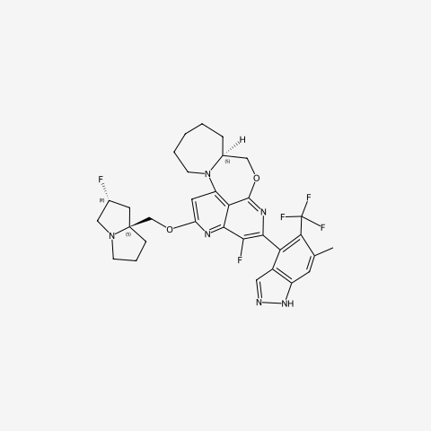 Cc1cc2[nH]ncc2c(-c2nc3c4c(cc(OC[C@@]56CCCN5C[C@H](F)C6)nc4c2F)N2CCCCC[C@H]2CO3)c1C(F)(F)F